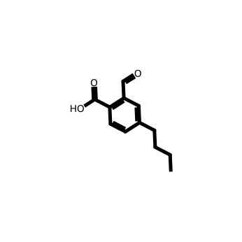 CCCCc1ccc(C(=O)O)c(C=O)c1